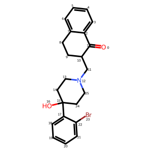 O=C1c2ccccc2CCC1CN1CCC(O)(c2ccccc2Br)CC1